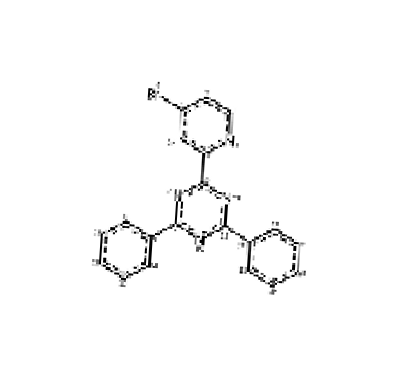 Brc1ccnc(-c2nc(-c3ccccc3)nc(-c3ccccc3)n2)c1